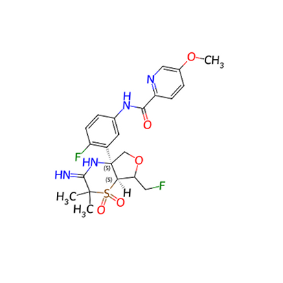 COc1ccc(C(=O)Nc2ccc(F)c([C@]34COC(CF)[C@H]3S(=O)(=O)C(C)(C)C(=N)N4)c2)nc1